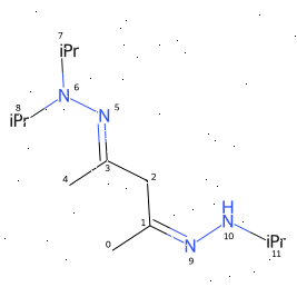 C/C(C/C(C)=N/N(C(C)C)C(C)C)=N/NC(C)C